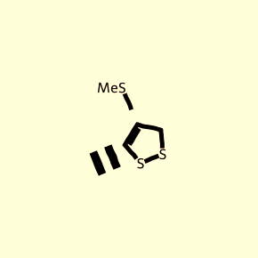 C1=CSSC1.C=C.C=C.CSC